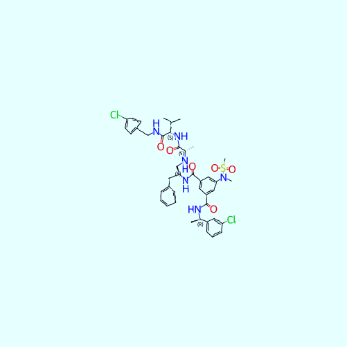 CC(C)[C@H](NC(=O)[C@H](C)NC[C@H](Cc1ccccc1)NC(=O)c1cc(C(=O)N[C@H](C)c2cccc(Cl)c2)cc(N(C)S(C)(=O)=O)c1)C(=O)NCc1ccc(Cl)cc1